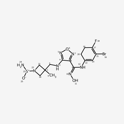 CC1(CNc2nonc2/C(=N/O)NC2=CC(Br)=C(F)CC2)CN([S+](N)[O-])C1